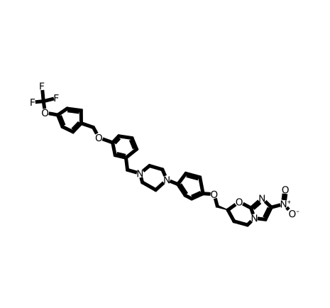 O=[N+]([O-])c1cn2c(n1)O[C@H](COc1ccc(N3CCN(Cc4cccc(OCc5ccc(OC(F)(F)F)cc5)c4)CC3)cc1)CC2